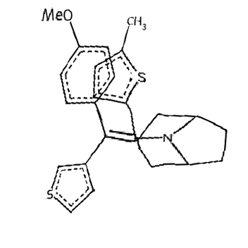 COc1ccc(C(=C2CC3CCC(C2)N3Cc2ccc(C)s2)c2ccsc2)cc1